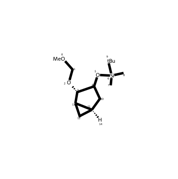 COCO[C@@H]1C(O[Si](C)(C)C(C)(C)C)C[C@H]2CC21